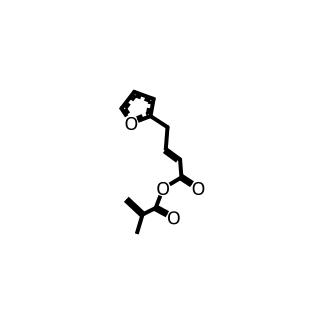 C=C(C)C(=O)OC(=O)C=CCc1ccco1